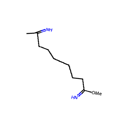 COC(=N)CCCCCCC(C)=N